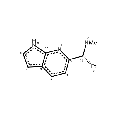 CC[C@@H](NC)c1ccc2cc[nH]c2n1